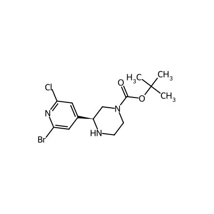 CC(C)(C)OC(=O)N1CCN[C@@H](c2cc(Cl)nc(Br)c2)C1